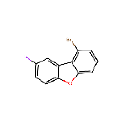 Brc1cccc2oc3ccc(I)cc3c12